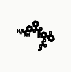 CCOC(=O)COc1cc(NC(=O)C(Oc2cccc(C(=N)N)c2)c2ccccc2)ccc1N1CCCCC1=O